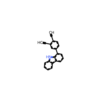 C#Cc1ccc(-c2cccc3c2[nH]c2ccccc23)cc1C#C